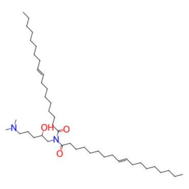 CCCCCCCCC=CCCCCCCCC(=O)N(CC(O)CCCN(C)C)C(=O)CCCCCCCC=CCCCCCCCC